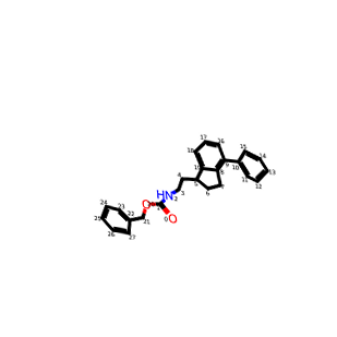 O=C(NCCC1CCc2c(-c3ccccc3)cccc21)OCc1ccccc1